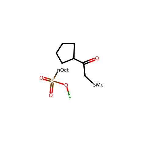 CCCCCCCCS(=O)(=O)OF.CSCC(=O)C1CCCC1